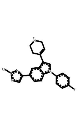 CCn1ncc(-c2ccc3c(c2)c(C2=CCNCC2)cn3-c2ccc(F)cc2)n1